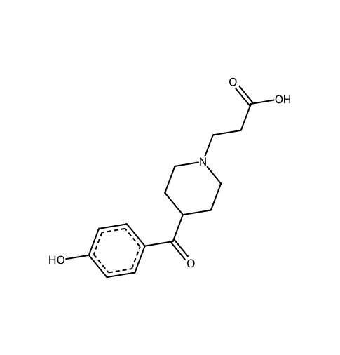 O=C(O)CCN1CCC(C(=O)c2ccc(O)cc2)CC1